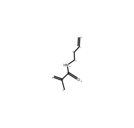 C=CCCNC(=O)C(=C)C